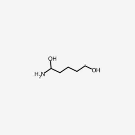 NC(O)CCC[CH]O